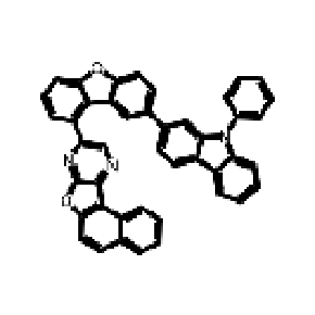 c1ccc(-n2c3ccccc3c3ccc(-c4ccc5oc6cccc(-c7cnc8c(n7)oc7ccc9ccccc9c78)c6c5c4)cc32)cc1